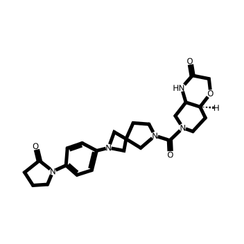 O=C1CO[C@H]2CCN(C(=O)N3CCC4(C3)CN(c3ccc(N5CCCC5=O)cc3)C4)CC2N1